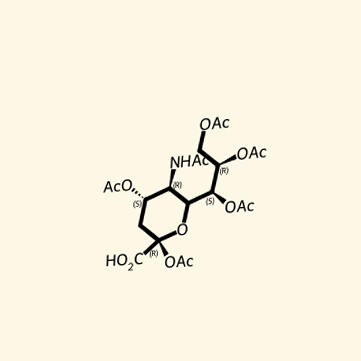 CC(=O)N[C@H]1C([C@H](OC(C)=O)[C@@H](COC(C)=O)OC(C)=O)O[C@](OC(C)=O)(C(=O)O)C[C@@H]1OC(C)=O